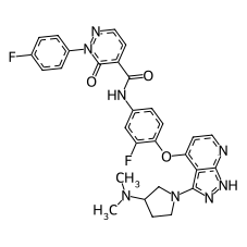 CN(C)C1CCN(c2n[nH]c3nccc(Oc4ccc(NC(=O)c5ccnn(-c6ccc(F)cc6)c5=O)cc4F)c23)C1